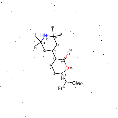 CCC(OC)[SiH]1CCC(C2CC(C)(C)NC(C)(C)C2)C(=O)O1